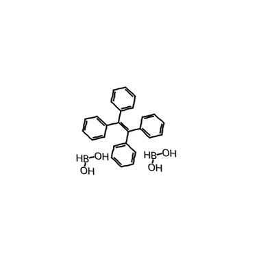 OBO.OBO.c1ccc(C(=C(c2ccccc2)c2ccccc2)c2ccccc2)cc1